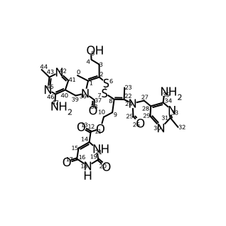 CC(=C(CCO)SSC(CCOC(=O)c1cc(=O)[nH]c(=O)[nH]1)=C(C)N(C=O)Cc1cnc(C)nc1N)N(C=O)Cc1cnc(C)nc1N